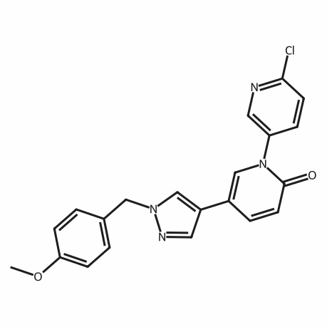 COc1ccc(Cn2cc(-c3ccc(=O)n(-c4ccc(Cl)nc4)c3)cn2)cc1